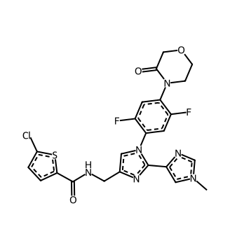 Cn1cnc(-c2nc(CNC(=O)c3ccc(Cl)s3)cn2-c2cc(F)c(N3CCOCC3=O)cc2F)c1